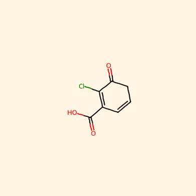 O=C(O)C1=C(Cl)C(=O)CC=C1